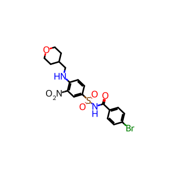 O=C(NS(=O)(=O)c1ccc(NCC2CCOCC2)c([N+](=O)[O-])c1)c1ccc(Br)cc1